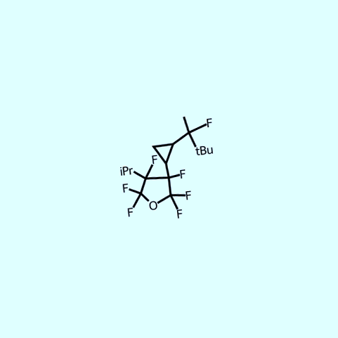 CC(C)C1(F)C(F)(F)OC(F)(F)C1(F)C1CC1C(C)(F)C(C)(C)C